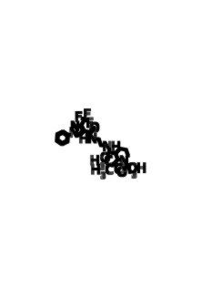 CC(C)(C)C1C(C(=O)NCCNC(=O)c2cn(-c3ccccc3)nc2C(F)(F)F)CCCN1C(=O)O